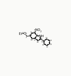 CCOCc1cc([N+](=O)[O-])c2[nH]c(-c3ccccc3)cc2c1